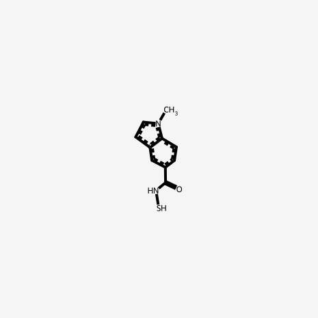 Cn1ccc2cc(C(=O)NS)ccc21